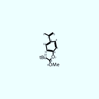 C=C(C)c1ccc(OC(OC)C(C)(C)C)cc1